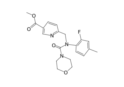 COC(=O)c1ccc(CN(C(=O)N2CCOCC2)c2ccc(C)cc2F)nc1